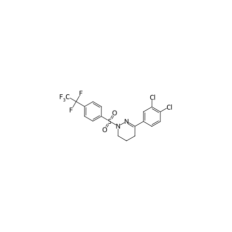 O=S(=O)(c1ccc(C(F)(F)C(F)(F)F)cc1)N1CCCC(c2ccc(Cl)c(Cl)c2)=N1